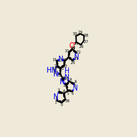 c1cncc(-c2cncc3[nH]c(-c4n[nH]c5cnc(-c6cncc(OC7CCCCC7)c6)cc45)nc23)c1